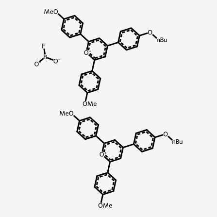 CCCCOc1ccc(-c2cc(-c3ccc(OC)cc3)[o+]c(-c3ccc(OC)cc3)c2)cc1.CCCCOc1ccc(-c2cc(-c3ccc(OC)cc3)[o+]c(-c3ccc(OC)cc3)c2)cc1.[O-]B([O-])F